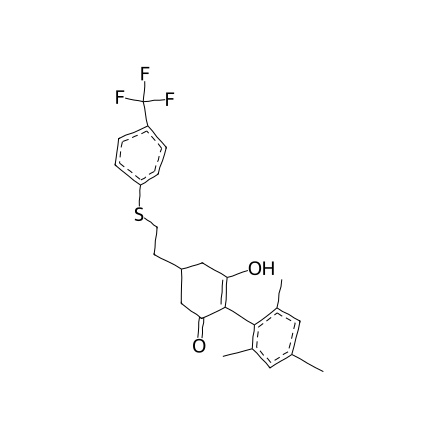 Cc1cc(C)c(C2=C(O)CC(CCSc3ccc(C(F)(F)F)cc3)CC2=O)c(C)c1